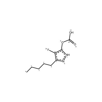 CCCCCc1n[nH]c(OC(=O)O)c1F